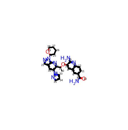 C[C@H](Oc1cc2cc(C(N)=O)ccc2nc1N)c1nc2c(cnn2[C@@H]2CCCCO2)cc1-n1cccn1